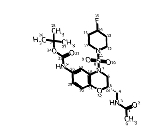 CC(=O)NC[C@H]1CN(S(=O)(=O)N2CCC(F)CC2)c2cc(NC(=O)OC(C)(C)C)ccc2O1